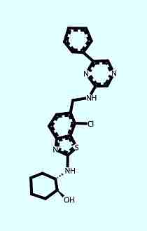 O[C@H]1CCCC[C@@H]1Nc1nc2ccc(CNc3cncc(-c4ccccc4)n3)c(Cl)c2s1